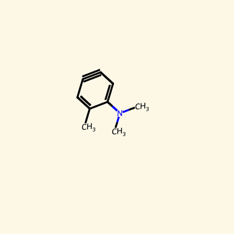 Cc1cc#ccc1N(C)C